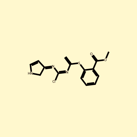 C=C(/N=C(Cl)\N=C1\C=CNC1)Sc1ccccc1C(=O)OC